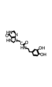 O=C(CCN1CNc2c1nc[nH]c2=O)NCCc1ccc(O)c(O)c1